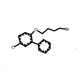 Clc1ccc(OCCCCBr)c(-c2ccccc2)c1